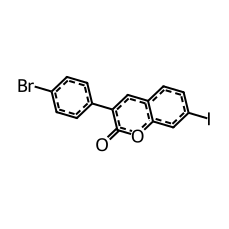 O=c1oc2cc(I)ccc2cc1-c1ccc(Br)cc1